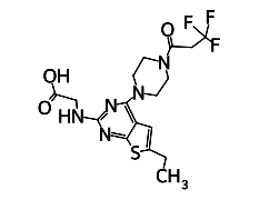 CCc1cc2c(N3CCN(C(=O)CC(F)(F)F)CC3)nc(NCC(=O)O)nc2s1